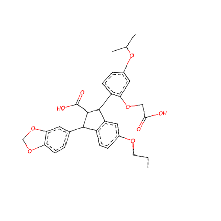 CCCOc1ccc2c(c1)C(c1ccc(OC(C)C)cc1OCC(=O)O)C(C(=O)O)C2c1ccc2c(c1)OCO2